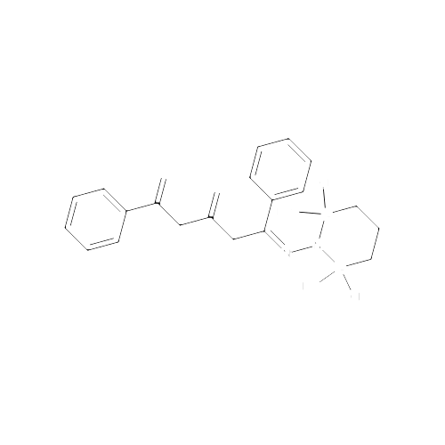 C[Si]1(C)CCC[Si](C)(C)N1N=C(CC(=O)CC(=O)c1ccccc1)c1ccccc1